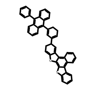 C1=C(c2c3ccccc3c(-c3ccccc3)c3ccccc23)CCC=C1C1C=c2c(oc3c4sc5ccccc5c4c4ccccc4c23)=CC1